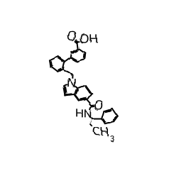 CC[C@H](NC(=O)c1ccc2c(ccn2Cc2ccccc2-c2cccc(C(=O)O)c2)c1)c1ccccc1